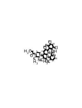 C=CC(=O)N1CCN(c2c(C#N)c(=O)n(-c3c(C)ccnc3C(C)C)c3nc(-c4c(O)c(Cl)cc(Cl)c4F)c(Cl)cc23)CC1C